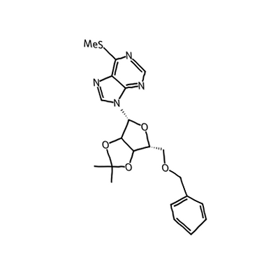 CSc1ncnc2c1ncn2[C@@H]1O[C@H](COCc2ccccc2)C2OC(C)(C)OC21